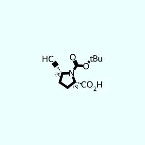 C#C[C@H]1CC[C@@H](C(=O)O)N1C(=O)OC(C)(C)C